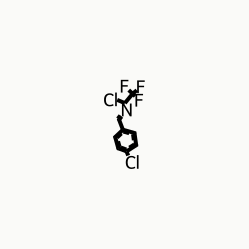 FC(F)(F)C(Cl)N=Cc1ccc(Cl)cc1